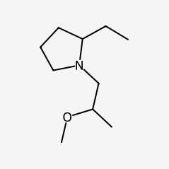 CCC1CCCN1CC(C)OC